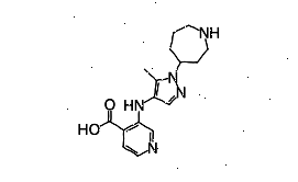 Cc1c(Nc2cnccc2C(=O)O)cnn1C1CCCNCC1